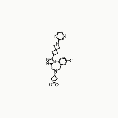 O=S1(=O)CC(N2Cc3cc(Cl)ccc3-n3c(nnc3C3CC4(C3)CN(c3cnccn3)C4)C2)C1